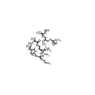 C=C(C)C(=O)OCCN(C)C.C=CCOC(=O)C=C.C=CN1CCCC1.CC(O)COC(C)COC(C)CO